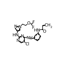 C=CC(=O)Nc1cccc(CNc2nc(Nc3cnn(CCOC(F)F)c3)ncc2Cl)c1